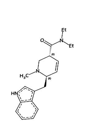 CCN(CC)C(=O)[C@@H]1C=C[C@@H](Cc2c[nH]c3ccccc23)N(C)C1